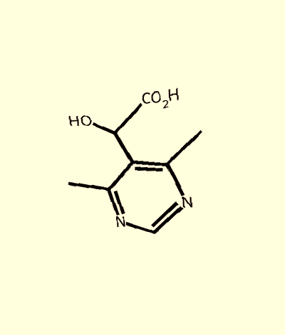 Cc1ncnc(C)c1C(O)C(=O)O